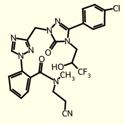 CN(CCC#N)C(=O)c1ccccc1-n1cnc(Cn2nc(-c3ccc(Cl)cc3)n(CC(O)C(F)(F)F)c2=O)n1